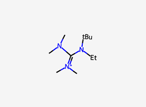 CCN(C(N(C)C)=[N+](C)C)C(C)(C)C